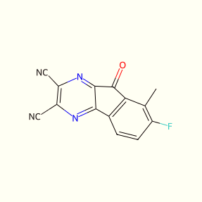 Cc1c(F)ccc2c1C(=O)c1nc(C#N)c(C#N)nc1-2